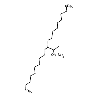 CCCCCCCCCCCCCCCCCCCC(CCCCCCCCCCCCCCCCCC)C(C)O.N